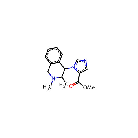 COC(=O)c1cncn1C1c2ccccc2CN(C)C1C